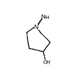 [NH]N1CCC(O)C1